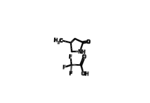 CC1CNC(=O)C1.O=C(O)C(F)(F)F